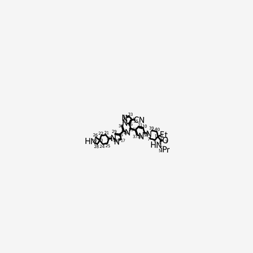 CCC1(C(=O)NC(C)C)CCN(c2ccc(-c3nc(-c4cnn(C5CCC6(CC5)CNC6)c4)cn4ncc(C#N)c34)cn2)CC1